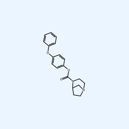 O=C(Oc1ccc(Oc2ccccc2)cc1)N1CCN2CCC1C2